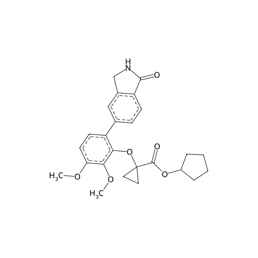 COc1ccc(-c2ccc3c(c2)CNC3=O)c(OC2(C(=O)OC3CCCC3)CC2)c1OC